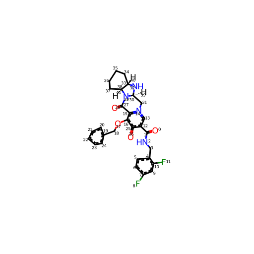 O=C(NCc1ccc(F)cc1F)c1cn2c(c(OCc3ccccc3)c1=O)C(=O)N1[C@H](C2)N[C@H]2CCCC[C@@H]21